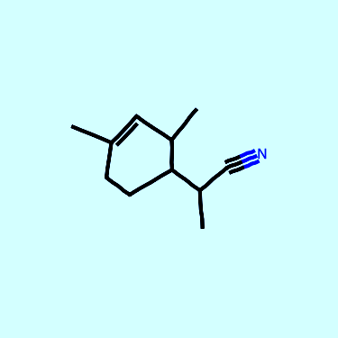 CC1=CC(C)C(C(C)C#N)CC1